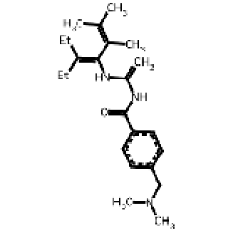 C=C(NC(=O)c1ccc(CN(C)C)cc1)NC(=C(CC)CC)C(C)=C(C)C